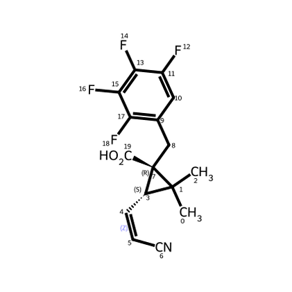 CC1(C)[C@H](/C=C\C#N)[C@@]1(Cc1cc(F)c(F)c(F)c1F)C(=O)O